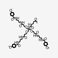 COc1ccc(C(=O)NCCCNC(=O)CCOCC(COCCC(=O)NCCCNC(=O)c2ccc(OC)cc2)(COCCC(=O)NCCCNC(=O)c2ccc(OC)cc2)NC(=O)CCCC(=O)I)cc1